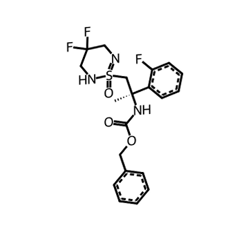 C[C@@](CS1(=O)=NCC(F)(F)CN1)(NC(=O)OCc1ccccc1)c1ccccc1F